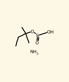 CCC(C)(C)O[Si](=O)O.N